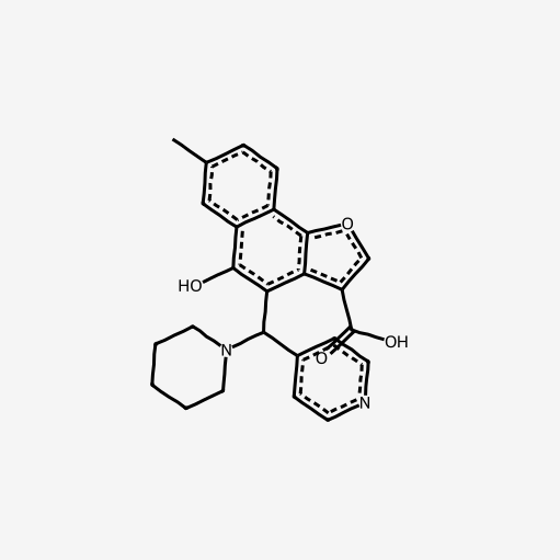 Cc1ccc2c(c1)c(O)c(C(c1ccncc1)N1CCCCC1)c1c(C(=O)O)coc12